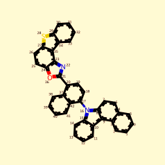 c1ccc2c(c1)ccc1c2c2ccccc2n1-c1ccc(-c2nc3c(ccc4sc5ccccc5c43)o2)c2ccccc12